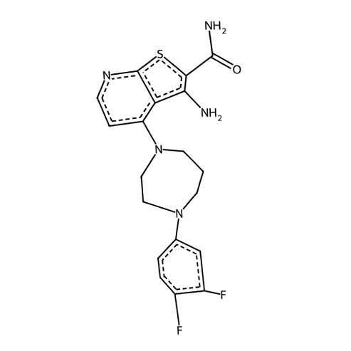 NC(=O)c1sc2nccc(N3CCCN(c4ccc(F)c(F)c4)CC3)c2c1N